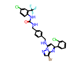 O=C(NCc1ccc(CNc2cc(-c3ccccc3Cl)nc3c(Br)cnn23)cc1)Nc1ccc(Cl)cc1C(F)(F)F